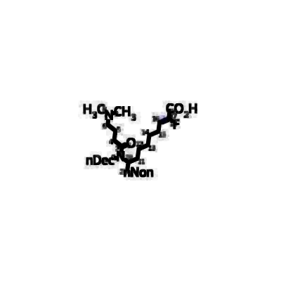 CCCCCCCCCCN(C(=O)CCCN(C)C)C(CCCCC/C=C(\F)C(=O)O)CCCCCCCCC